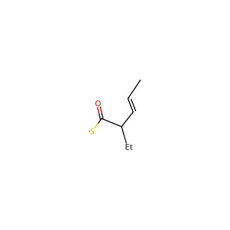 CC=CC(CC)C(=O)[S]